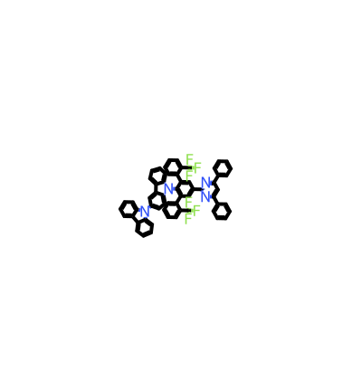 FC(F)(F)c1ccccc1-c1cc(-c2nc(-c3ccccc3)cc(-c3ccccc3)n2)cc(-c2ccccc2C(F)(F)F)c1-n1c2ccccc2c2cc(-n3c4ccccc4c4ccccc43)ccc21